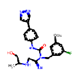 COc1cc(F)cc(CN(C(=N)CNC(C)CO)C(=O)Nc2ccc(-c3cn[nH]c3)cc2)c1